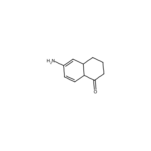 NC1=CC2CCCC(=O)C2C=C1